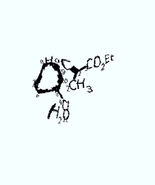 C=C(C)C(=O)OCC.Clc1ccccc1.O